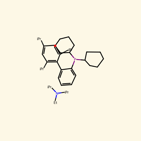 CC(C)c1cc(C(C)C)c(-c2ccccc2P(C2CCCCC2)C2CCCCC2)c(C(C)C)c1.CCN(C(C)C)C(C)C